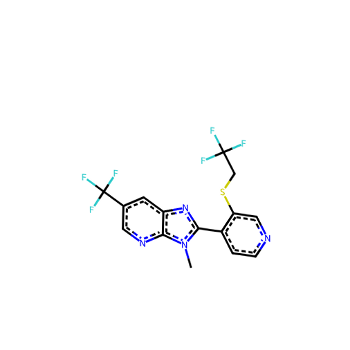 Cn1c(-c2ccncc2SCC(F)(F)F)nc2cc(C(F)(F)F)cnc21